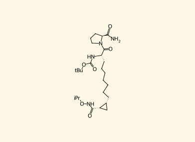 CC(C)ONC(=O)[C@H]1C[C@H]1CCCCCCC[C@H](NC(=O)OC(C)(C)C)C(=O)N1CCC[C@H]1C(N)=O